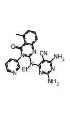 CCN(c1nc(N)nc(N)c1C#N)c1nc2cccc(C)c2c(=O)n1-c1cccnc1